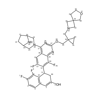 OC1=Cc2ccc(F)c(F)c2C(c2c(F)cc3c(N4CC5CCC(C4)N5)nc(OCC4(CN5CC6(CCOC6)C5)CC4)nc3c2F)C1